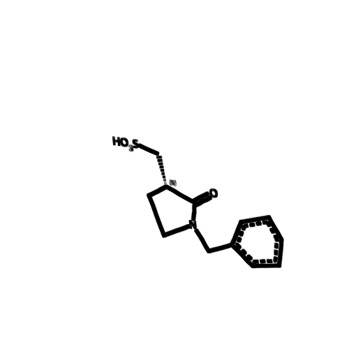 O=C1[C@@H](CS(=O)(=O)O)CCN1Cc1ccccc1